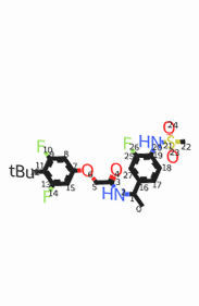 CC(NC(=O)COc1cc(F)c(C(C)(C)C)c(F)c1)c1ccc(NS(C)(=O)=O)c(F)c1